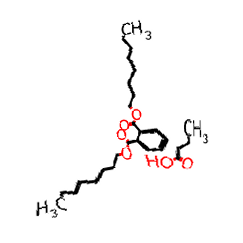 CCCC(=O)O.CCCCCCCCOC(=O)c1ccccc1C(=O)OCCCCCCCC